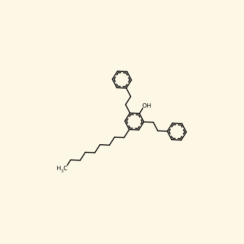 CCCCCCCCCc1cc(CCc2ccccc2)c(O)c(CCc2ccccc2)c1